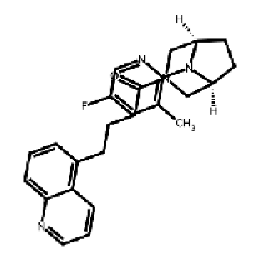 Cc1cc(F)cnc1N1[C@@H]2CC[C@H]1CN(C(=O)CCCc1cccc3ncccc13)C2